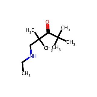 CCNCC(C)(C)C(=O)C(C)(C)C